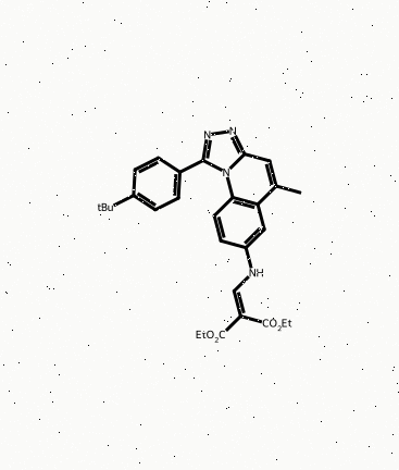 CCOC(=O)C(=CNc1ccc2c(c1)c(C)cc1nnc(-c3ccc(C(C)(C)C)cc3)n12)C(=O)OCC